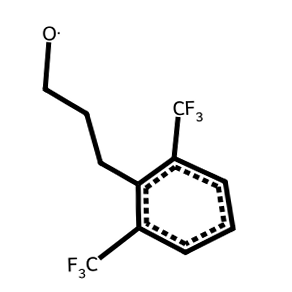 [O]CCCc1c(C(F)(F)F)cccc1C(F)(F)F